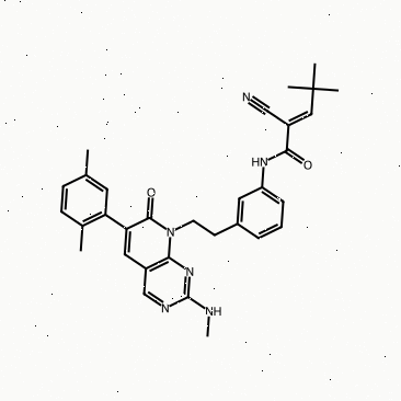 CNc1ncc2cc(-c3cc(C)ccc3C)c(=O)n(CCc3cccc(NC(=O)/C(C#N)=C/C(C)(C)C)c3)c2n1